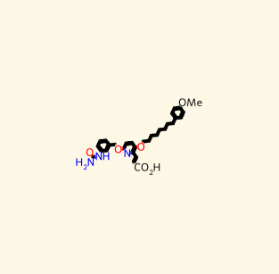 COc1ccc(CCCCCCCCOc2ccc(OCc3cccc(NC(N)=O)c3)nc2C=CC(=O)O)cc1